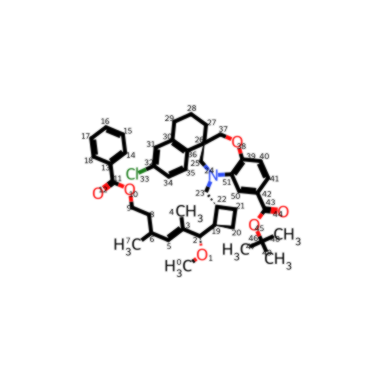 CO[C@H](/C(C)=C/C(C)CCOC(=O)c1ccccc1)[C@@H]1CC[C@H]1CN1C[C@@]2(CCCc3cc(Cl)ccc32)COc2ccc(C(=O)OC(C)(C)C)cc21